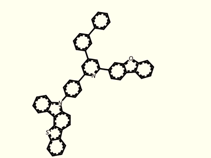 c1ccc(-c2cccc(-c3cc(-c4ccc(-n5c6ccccc6c6c7sc8ccccc8c7ccc65)cc4)nc(-c4ccc5c(c4)oc4ccccc45)c3)c2)cc1